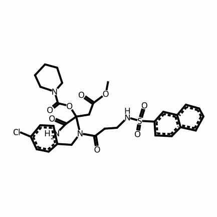 COC(=O)CC(OC(=O)N1CCCCC1)(C(N)=O)N(Cc1ccc(Cl)cc1)C(=O)CCNS(=O)(=O)c1ccc2ccccc2c1